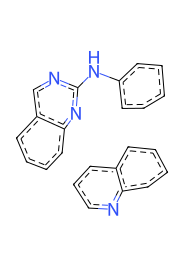 c1ccc(Nc2ncc3ccccc3n2)cc1.c1ccc2ncccc2c1